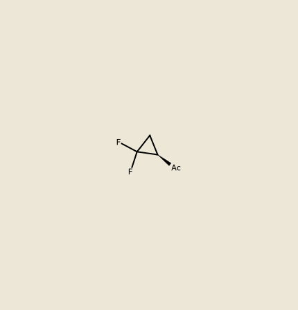 CC(=O)[C@@H]1CC1(F)F